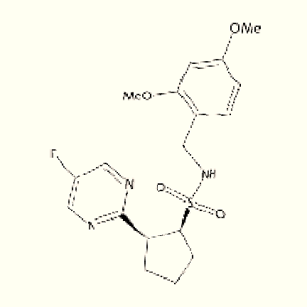 COc1ccc(CNS(=O)(=O)[C@H]2CCC[C@H]2c2ncc(F)cn2)c(OC)c1